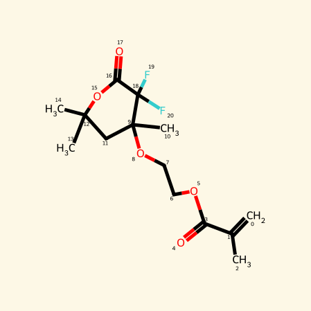 C=C(C)C(=O)OCCOC1(C)CC(C)(C)OC(=O)C1(F)F